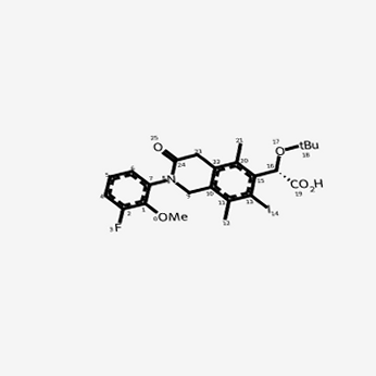 COc1c(F)cccc1N1Cc2c(C)c(I)c([C@H](OC(C)(C)C)C(=O)O)c(C)c2CC1=O